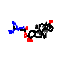 C[C@]12CC[C@@H]3C4=CCC(O)(OC(=O)CNC(=N)N)C=C4CC[C@H]3[C@@H]1CCC2=O